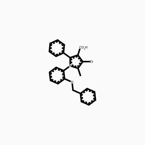 CCc1c(C(=O)O)c(-c2ccccc2)n(-c2ccccc2OCc2ccccc2)c1C